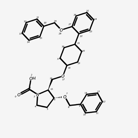 O=C(O)N1CC[C@@H](OCc2ccccc2)[C@@H]1COC1CCC(c2ccccc2OCc2ccccc2)CC1